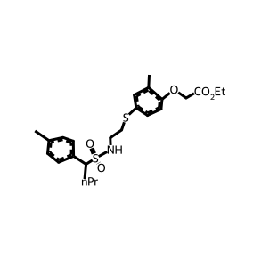 CCCC(c1ccc(C)cc1)S(=O)(=O)NCCSc1ccc(OCC(=O)OCC)c(C)c1